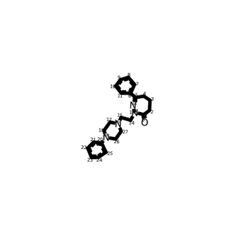 O=C1CCCC(c2ccccc2)=NN1CCN1CCN(c2ccccc2)CC1